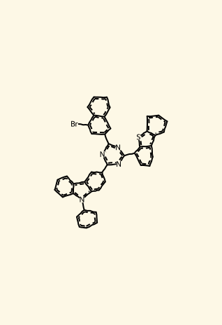 Brc1cc(-c2nc(-c3ccc4c(c3)c3ccccc3n4-c3ccccc3)nc(-c3cccc4c3sc3ccccc34)n2)cc2ccccc12